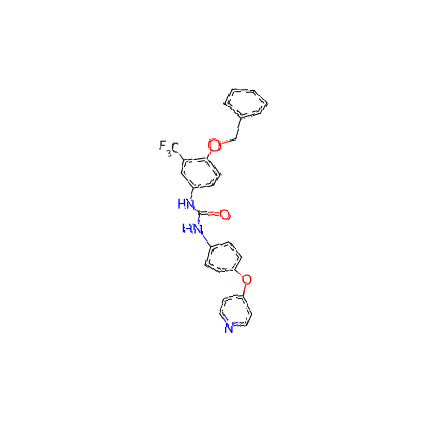 O=C(Nc1ccc(Oc2ccncc2)cc1)Nc1ccc(OCc2ccccc2)c(C(F)(F)F)c1